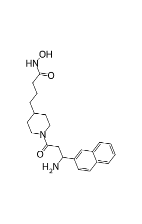 NC(CC(=O)N1CCC(CCCC(=O)NO)CC1)c1ccc2ccccc2c1